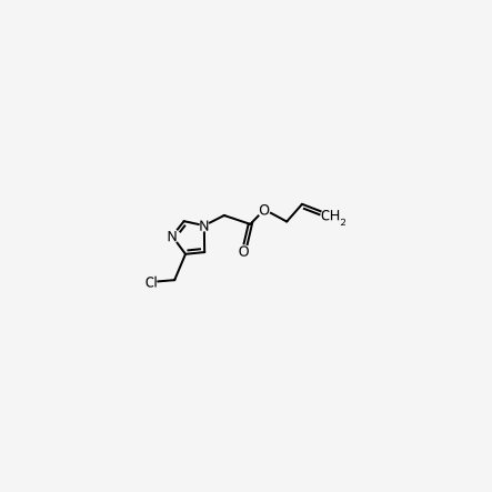 C=CCOC(=O)Cn1cnc(CCl)c1